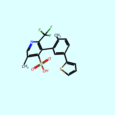 Cc1ccc(-c2cccs2)cc1-c1c(C(F)(F)F)ncc(C)c1S(=O)(=O)O